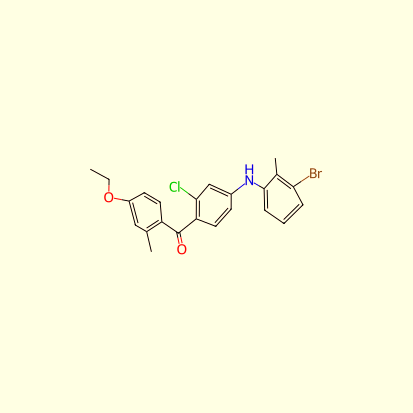 CCOc1ccc(C(=O)c2ccc(Nc3cccc(Br)c3C)cc2Cl)c(C)c1